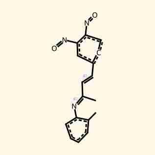 CC(/C=C/c1ccc(N=O)c(N=O)c1)=N\c1ccccc1C